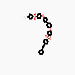 Cc1ccc(S(=O)(=O)c2ccc(Oc3ccc(-c4ccc(Oc5ccc(S(=O)(=O)c6ccc(C#Cc7ccccc7)cc6)cc5)cc4)cc3)cc2)cc1